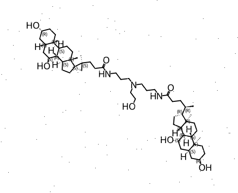 C[C@H](CCC(=O)NCCCN(CCO)CCCNC(=O)CC[C@@]1(C)C[C@@]12CC[C@H]1[C@@H]3[C@@H](O)C[C@@H]4C[C@H](O)CC[C@]4(C)[C@H]3CC[C@@]12C)[C@H]1CC[C@H]2[C@@H]3[C@@H](O)C[C@@H]4C[C@H](O)CC[C@]4(C)[C@H]3CC[C@]12C